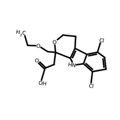 CCOCC1(CC(=O)O)OCCc2c1[nH]c1c(Cl)ccc(Cl)c21